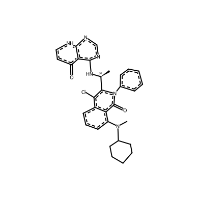 C[C@H](Nc1ncnc2[nH]ccc(=O)c12)c1c(Cl)c2cccc(N(C)C3CCCCC3)c2c(=O)n1-c1ccccc1